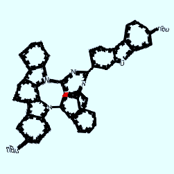 CCCCc1ccc2c(c1)oc1cc(-c3nc(-c4ccccc4)nc(-n4c5ccccc5c5ccc6c7cc(CCCC)ccc7n(-c7ccccc7)c6c54)n3)ccc12